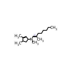 CCCCCC/C(C)=C/N(C)C1C=C(C)C(C)C1